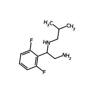 CC(C)CNC(CN)c1c(F)cccc1F